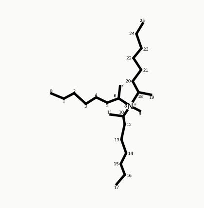 CCCCCCC(C)[N+](C)(C(C)CCCCCC)C(C)CCCCCC